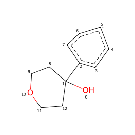 OC1(c2cc[c]cc2)CCOCC1